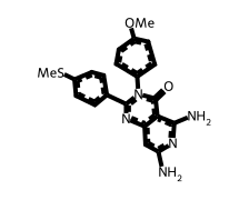 COc1ccc(-n2c(-c3ccc(SC)cc3)nc3cc(N)nc(N)c3c2=O)cc1